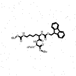 CCCCC[C@H](NC(=O)C(CCCCNC(=O)OC(C)(C)C)NC(=O)OCC1c2ccccc2-c2ccccc21)C(=O)OC(C)(C)C